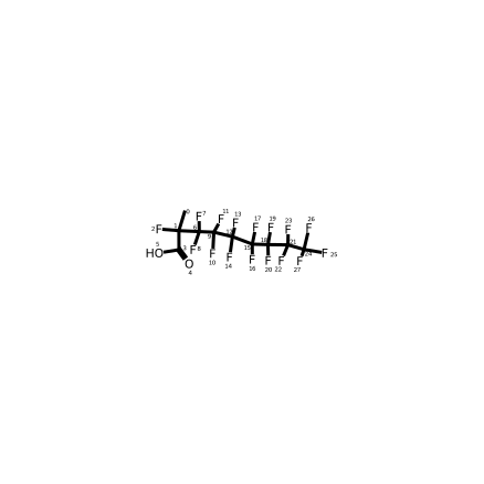 CC(F)(C(=O)O)C(F)(F)C(F)(F)C(F)(F)C(F)(F)C(F)(F)C(F)(F)C(F)(F)F